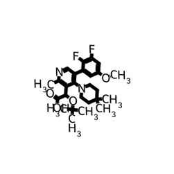 COc1cc(F)c(F)c(-c2cnc(C)c(C(OC(C)(C)C)C(=O)O)c2N2CCC(C)(C)CC2)c1